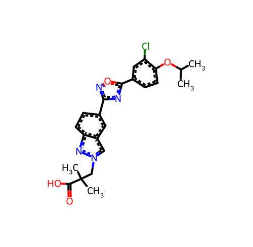 CC(C)Oc1ccc(-c2nc(-c3ccc4nn(CC(C)(C)C(=O)O)cc4c3)no2)cc1Cl